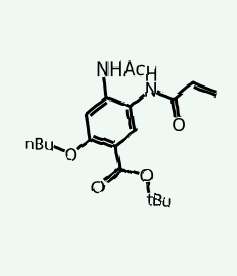 C=CC(=O)Nc1cc(C(=O)OC(C)(C)C)c(OCCCC)cc1NC(C)=O